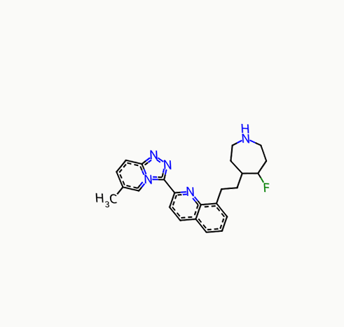 Cc1ccc2nnc(-c3ccc4cccc(CCC5CCNCCC5F)c4n3)n2c1